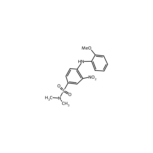 COc1ccccc1Nc1ccc(S(=O)(=O)N(C)C)cc1[N+](=O)[O-]